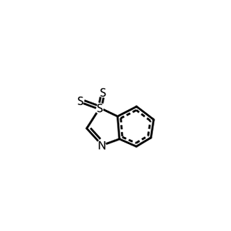 S=S1(=S)C=Nc2ccccc21